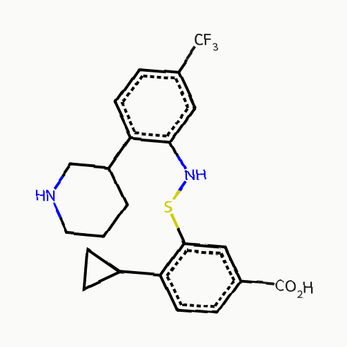 O=C(O)c1ccc(C2CC2)c(SNc2cc(C(F)(F)F)ccc2C2CCCNC2)c1